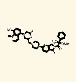 C=Nc1c(C#N)ccc(N2C[C@H](CN3CCN(c4ccc5c(n4)CN(C(=O)C(OC)(c4ccccc4)C(F)(F)F)[C@H]5C)CC3)O[C@H](C)C2)c1/C=C\C